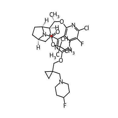 C[C@@H]1Oc2nc(Cl)c(F)c3nc(OCC4(CN5CCC(F)CC5)CC4)nc(c23)N2C[C@H]3CC[C@@H]([C@@H]12)N3C(=O)OC(C)(C)C